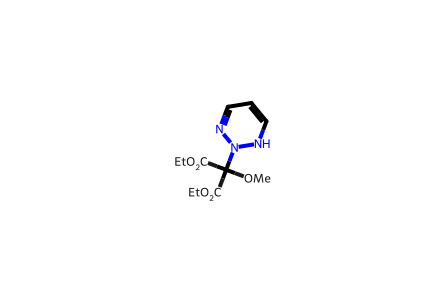 CCOC(=O)C(OC)(C(=O)OCC)N1N=CC=CN1